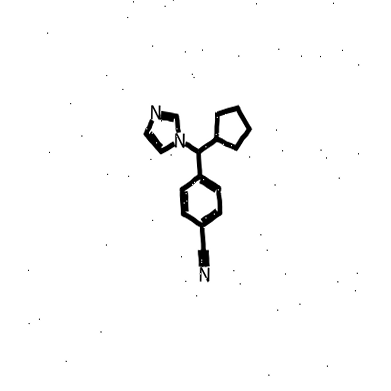 N#Cc1ccc(C(C2CCCC2)n2ccnc2)cc1